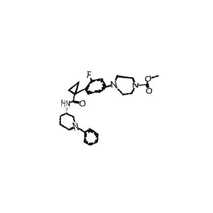 COC(=O)N1CCN(c2ccc(C3(C(=O)N[C@H]4CCCN(c5ccccc5)C4)CC3)c(F)c2)CC1